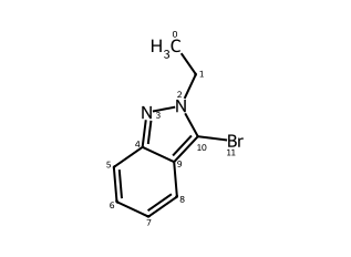 CCn1nc2ccccc2c1Br